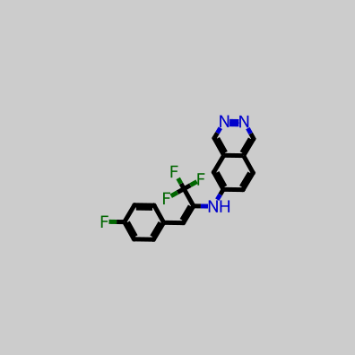 Fc1ccc(C=C(Nc2ccc3cnncc3c2)C(F)(F)F)cc1